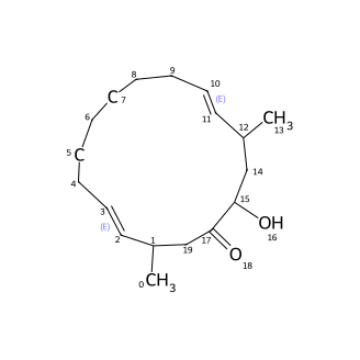 CC1/C=C/CCCCCC/C=C/C(C)CC(O)C(=O)C1